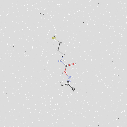 CC/C(C)=N/OC(=O)NCCCS